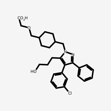 O=C(O)COCC1CCC(Cn2nc(-c3ccccc3)c(-c3cccc(Cl)c3)c2CCCO)CC1